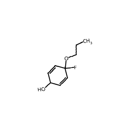 CCCOC1(F)C=CC(O)C=C1